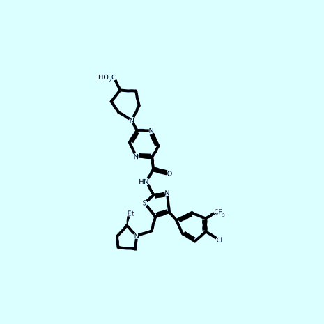 CC[C@@H]1CCCN1Cc1sc(NC(=O)c2cnc(N3CCC(C(=O)O)CC3)cn2)nc1-c1ccc(Cl)c(C(F)(F)F)c1